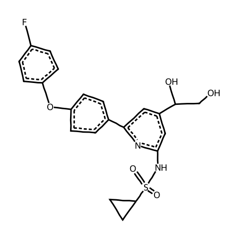 O=S(=O)(Nc1cc(C(O)CO)cc(-c2ccc(Oc3ccc(F)cc3)cc2)n1)C1CC1